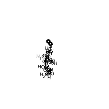 COC1C(OP(=O)(O)OCC2OC(n3cnc4c(=O)[nH]c(N)nc43)C(O)C2O)C(COP(=O)(O)O)OC1n1cnc2c(NCc3ccc4ccccc4c3)ncnc21